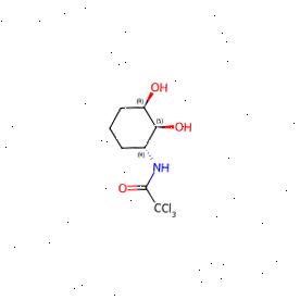 O=C(N[C@@H]1CCC[C@@H](O)[C@H]1O)C(Cl)(Cl)Cl